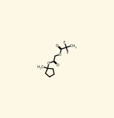 CC1(OC(=O)COC(=O)C(C)(F)F)CCCC1